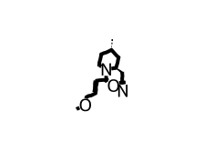 COC/C=C/C(=O)N1CC[C@H](C)C[C@H]1CC#N